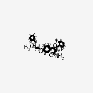 CN(CCOc1ccc(-c2oc(-c3c(F)cccc3F)nc2C(N)=O)cc1)Cc1ccccc1